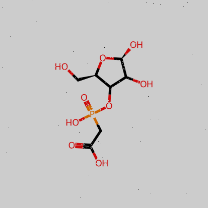 O=C(O)CP(=O)(O)OC1C(O)[C@H](O)O[C@@H]1CO